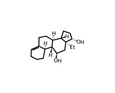 CC[C@]12C[C@@H](O)[C@H]3[C@@H](CCC4=CCCC[C@@H]43)[C@@H]1CC[C@@H]2O